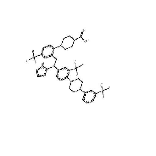 O=C(O)C1CCN(c2ccc(C(F)(F)F)cc2CN(c2ccc(N3CCN(c4cccc(C(F)(F)F)c4)CC3)c(C(F)(F)F)c2)c2ncc[nH]2)CC1